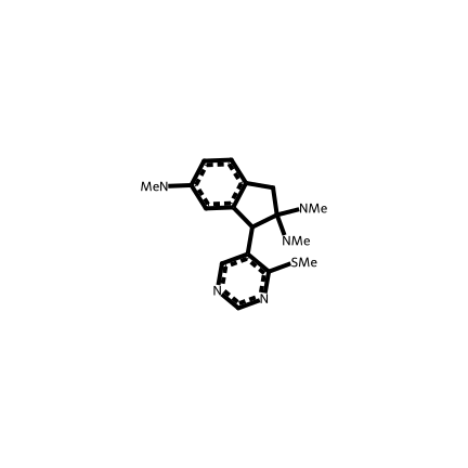 CNc1ccc2c(c1)C(c1cncnc1SC)C(NC)(NC)C2